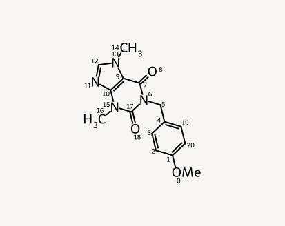 COc1ccc(Cn2c(=O)c3c(ncn3C)n(C)c2=O)cc1